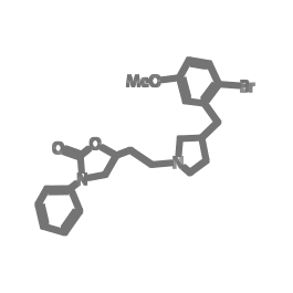 COc1ccc(Br)c(CC2CCN(CCC3CN(c4ccccc4)C(=O)O3)C2)c1